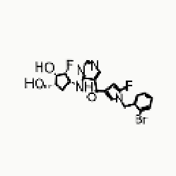 O=C(c1cc(F)n(Cc2ccccc2Br)c1)c1cncnc1N[C@@H]1C[C@H](CO)[C@@H](O)[C@@H]1F